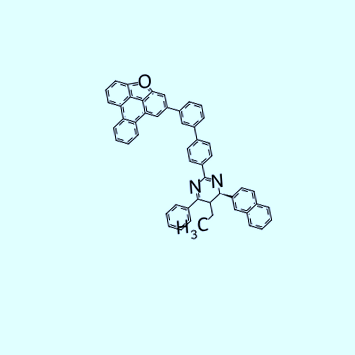 CCC1C(c2ccccc2)=NC(c2ccc(-c3cccc(-c4cc5oc6cccc7c8ccccc8c(c4)c5c67)c3)cc2)=N[C@H]1c1ccc2ccccc2c1